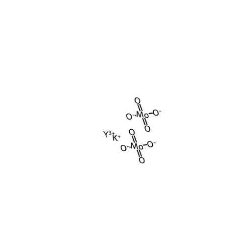 [K+].[O]=[Mo](=[O])([O-])[O-].[O]=[Mo](=[O])([O-])[O-].[Y+3]